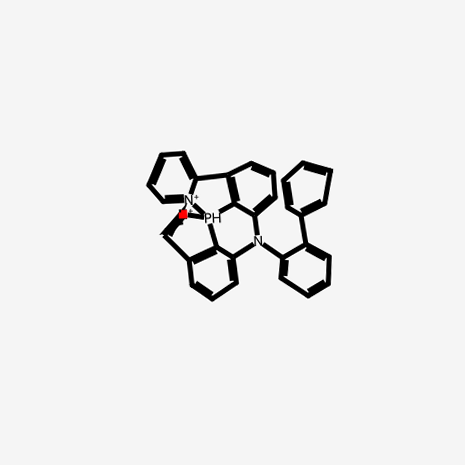 c1ccc(-c2ccccc2N2c3cccc4c3[PH]3(c5c(cccc52)-c2cccc[n+]23)[n+]2ccccc2-4)cc1